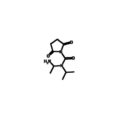 CC(C)N(C(=O)N1C(=O)CCC1=O)C(C)N